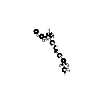 O=C1CCC(N2C(=O)c3ccc(N4CCC(N5CC(CC(=O)N6CCC(Nc7ncnc8[nH]cc(C(=O)c9ccc(Oc%10ccccc%10)cc9Cl)c78)CC6)C5)CC4)cc3C2=O)C(=O)N1